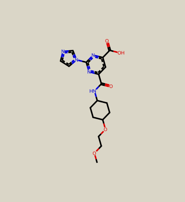 COCCOC1CCC(NC(=O)c2cc(C(=O)O)nc(-n3ccnc3)n2)CC1